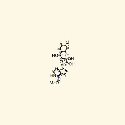 CO/N=c1\[nH]cnc2c1ccn2[C@@H]1O[C@H]([C@H](O)c2ccc(Cl)cc2)[C@@](C)(O)[C@H]1O